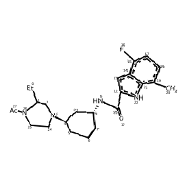 CCC1CN([C@@H]2CCC[C@@H](NC(=O)c3cc4c(F)ccc(C)c4[nH]3)C2)CCN1C(C)=O